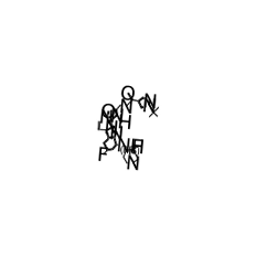 C=Cc1c2cc(F)cc(N[C@@H]3CCN(C)C[C@@H]3F)c2nn1-c1noc(CNC(=O)c2cnn(C(C)(C)C)c2)n1